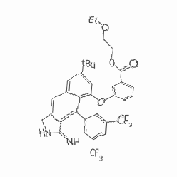 CCOCCOC(=O)c1cccc(Oc2cc(C(C)(C)C)cc3cc4c(c(-c5cc(C(F)(F)F)cc(C(F)(F)F)c5)c23)C(=N)NC4)c1